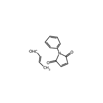 CC=C[C]=O.O=C1C=CC(=O)N1c1ccccc1